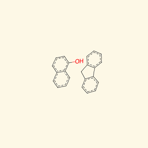 Oc1cccc2ccccc12.c1ccc2c(c1)Cc1ccccc1-2